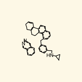 C1=CC2=C(CC1)CCc1c2ccc2cccc(Cc3cccc(CNC4CC4)c3)c12.c1ccc2cnncc2c1